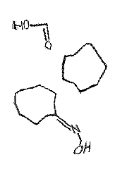 C1CCCCC1.O=CO.ON=C1CCCCC1